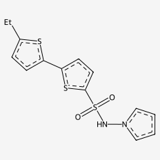 CCc1ccc(-c2ccc(S(=O)(=O)Nn3cccc3)s2)s1